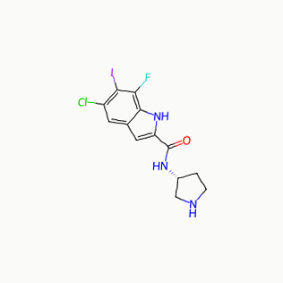 O=C(N[C@@H]1CCNC1)c1cc2cc(Cl)c(I)c(F)c2[nH]1